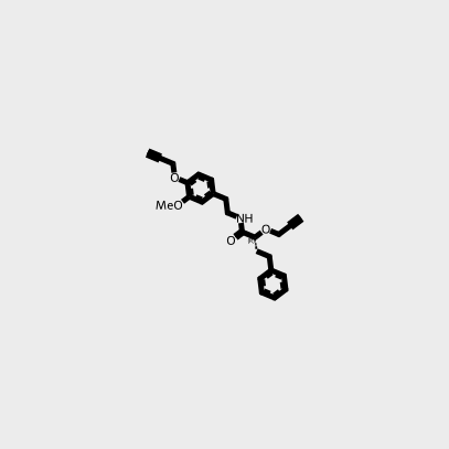 C#CCOc1ccc(CCNC(=O)[C@@H](CCc2ccccc2)OCC#C)cc1OC